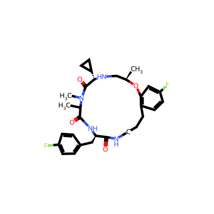 CC1C(=O)N[C@H](Cc2ccc(F)cc2)C(=O)NCCCc2ccc(F)cc2O[C@H](C)CN[C@@H](C2CC2)C(=O)N1C